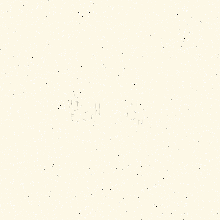 [CH2]c1cc(N)cc(OCCCCNc2cc(-c3nc(Cl)ncc3F)ccc2F)c1